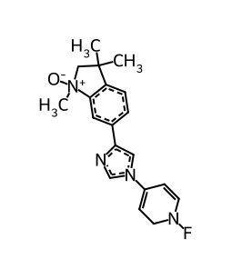 CC1(C)C[N+](C)([O-])c2cc(-c3cn(C4=CCN(F)C=C4)cn3)ccc21